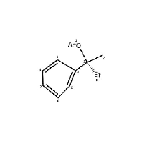 CC[C@@](C)(OC(C)=O)c1ccccc1